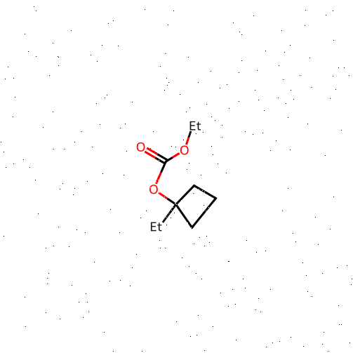 CCOC(=O)OC1(CC)CCC1